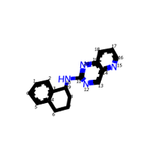 c1ccc2c(c1)CCCC2Nc1ncc2ncccc2n1